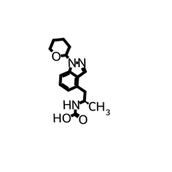 C[C@H](Cc1cccc2c1cnn2C1CCCCO1)NC(=O)O